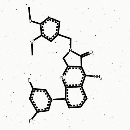 COc1ccc(CN2Cc3nc4c(-c5cc(F)cc(F)c5)cccc4c(N)c3C2=O)cc1OC